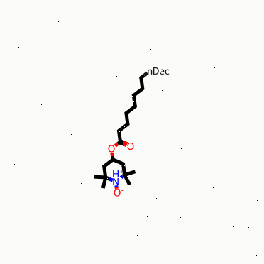 CCCCCCCCCCCCCCCCCC(=O)OC1CC(C)(C)[NH+]([O-])C(C)(C)C1